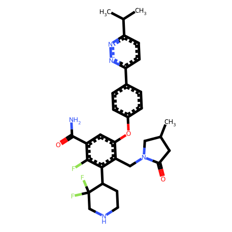 CC1CC(=O)N(Cc2c(Oc3ccc(-c4ccc(C(C)C)nn4)cc3)cc(C(N)=O)c(F)c2C2CCNCC2(F)F)C1